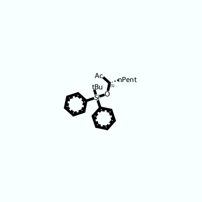 CCCCC[C@H](O[Si](c1ccccc1)(c1ccccc1)C(C)(C)C)C(C)=O